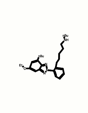 CCCCNCCCCCc1ccccc1-n1nc2cc(OCC)cc(CCCC)c2n1